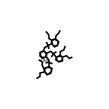 CCCc1cccc(C(C)(C)Cc2ccc(O)c(CC(C)(C)c3cccc(CCC)c3CCC)c2CC(C)(C)c2cccc(CCC)c2CCC)c1CCC